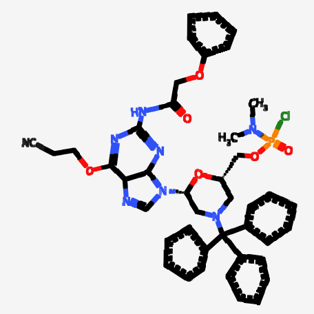 CN(C)P(=O)(Cl)OC[C@@H]1CN(C(c2ccccc2)(c2ccccc2)c2ccccc2)C[C@H](N2C=NC3C(OCCC#N)=NC(NC(=O)COc4ccccc4)=NC32)O1